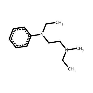 CCN(C)CCN(CC)c1ccccc1